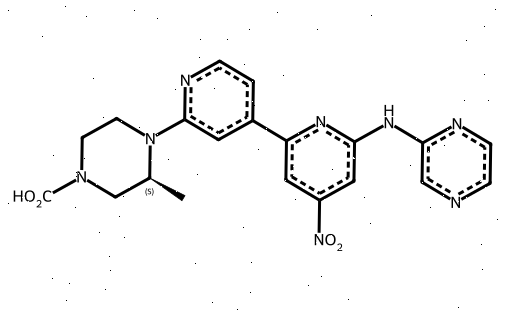 C[C@H]1CN(C(=O)O)CCN1c1cc(-c2cc([N+](=O)[O-])cc(Nc3cnccn3)n2)ccn1